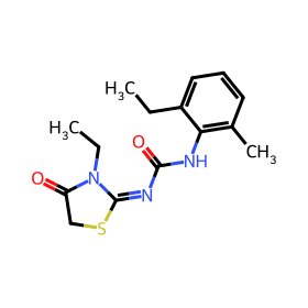 CCc1cccc(C)c1NC(=O)N=C1SCC(=O)N1CC